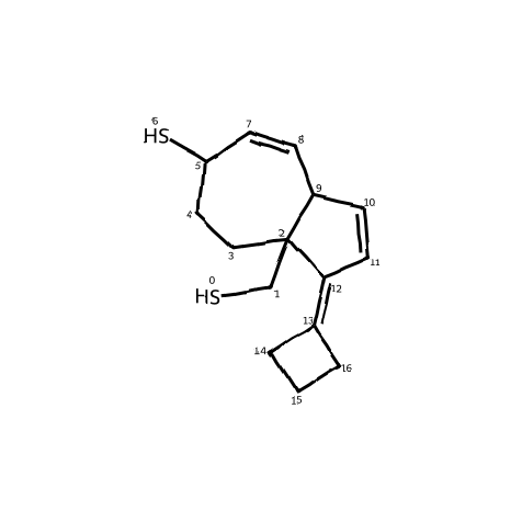 SCC12CCC(S)C=CC1C=CC2=C1CCC1